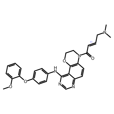 COc1ccccc1Oc1ccc(Nc2ncnc3ccc4c(c23)OCCN4C(=O)/C=C/CN(C)C)cc1